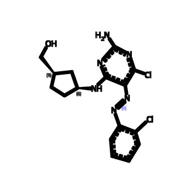 Nc1nc(Cl)c(/N=N/c2ccccc2Cl)c(N[C@H]2CC[C@@H](CO)C2)n1